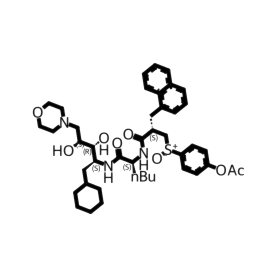 CCCC[C@H](NC(=O)[C@H](Cc1cccc2ccccc12)C[S+]([O-])c1ccc(OC(C)=O)cc1)C(=O)N[C@@H](CC1CCCCC1)[C@@H](O)[C@@H](O)CN1CCOCC1